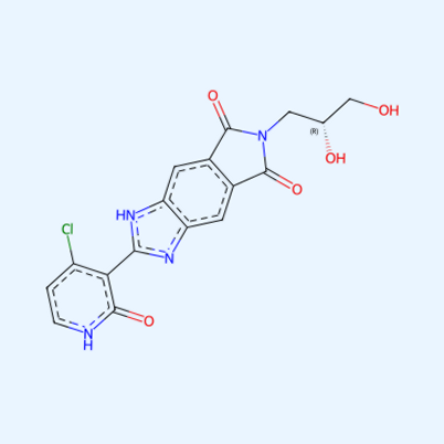 O=C1c2cc3nc(-c4c(Cl)cc[nH]c4=O)[nH]c3cc2C(=O)N1C[C@@H](O)CO